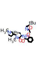 CC(C)C[C@@H](NC(=O)c1ccccc1OCc1ncc(C(C)(C)C)o1)C(=O)N(C)CC1CCN(C)C1